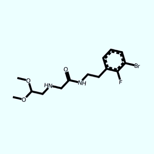 COC(CNCC(=O)NCCc1cccc(Br)c1F)OC